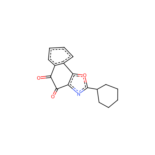 O=C1C(=O)c2nc(C3CCCCC3)oc2-c2ccccc21